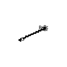 C=C(C)COCCCCCCCCCCCCCCCC[Si](Br)(Br)Br